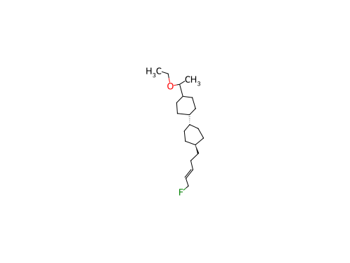 CCOC(C)C1CCC([C@H]2CC[C@H](CC/C=C/CF)CC2)CC1